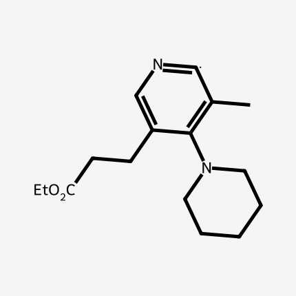 CCOC(=O)CCc1cn[c]c(C)c1N1CCCCC1